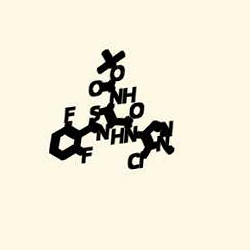 Cn1ncc(NC(=O)c2nc(-c3c(F)cccc3F)sc2NC(=O)OC(C)(C)C)c1Cl